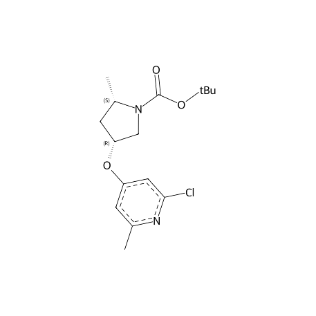 Cc1cc(O[C@@H]2C[C@H](C)N(C(=O)OC(C)(C)C)C2)cc(Cl)n1